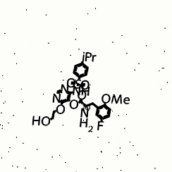 COc1ccc(F)cc1C[C@H](N)C(=O)Oc1c(NS(=O)(=O)c2ccc(C(C)C)cc2)ncnc1OCCO